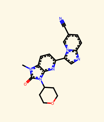 Cn1c(=O)n(C2CCOCC2)c2nc(-c3cnc4ccc(C#N)cn34)ccc21